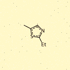 CCc1n[c]c(C)s1